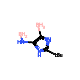 BNc1[nH]c(C(C)(C)C)nc1B